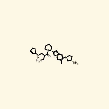 Cc1cn2nc([C@@H]3CCCCN3C(=O)C(CN)CNC3C=CCS3)cc2nc1N1CC[C@H](N)C1